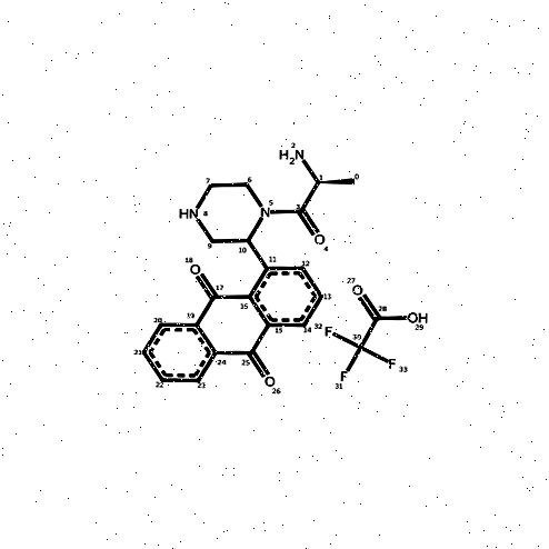 C[C@H](N)C(=O)N1CCNCC1c1cccc2c1C(=O)c1ccccc1C2=O.O=C(O)C(F)(F)F